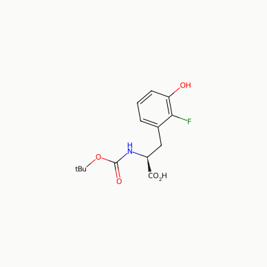 CC(C)(C)OC(=O)N[C@@H](Cc1cccc(O)c1F)C(=O)O